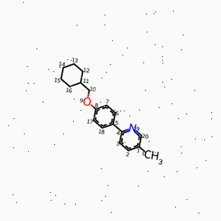 Cc1ccc(-c2ccc(OCC3CC[CH]CC3)cc2)nc1